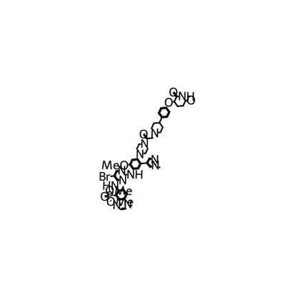 COc1cc(N2CCN(C(=O)CN3CCC(c4ccc(OC5CCC(=O)NC5=O)cc4)CC3)CC2)c(-c2cnn(C)c2)cc1Nc1ncc(Br)c(Nc2ccc3nccnc3c2P(=O)(OC)OC)n1